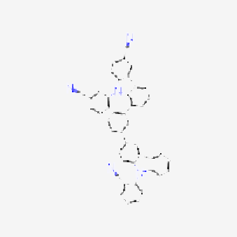 N#Cc1cccc(-n2c3ccc(C#N)cc3c3cccc(-c4cccc(-c5ccc6c(c5)c5ccccc5n6-c5ccccc5C#N)c4)c32)c1